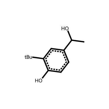 CC(O)c1ccc(O)c(C(C)(C)C)c1